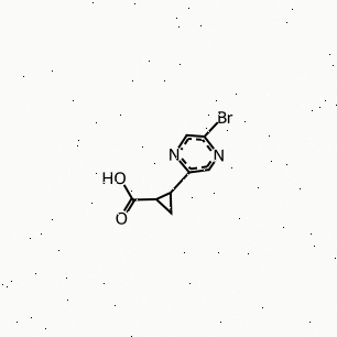 O=C(O)C1CC1c1cnc(Br)cn1